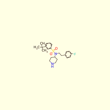 CC(C)(C)c1cccc(S(=O)(=O)N(CCc2ccc(F)cc2)C2CCNCC2)c1